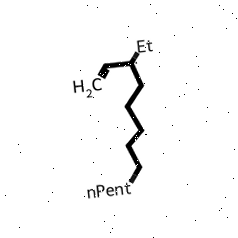 C=C[C](CC)CCCCCCCCCC